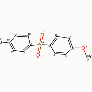 CC(C)Oc1ccc(S(=O)(=O)c2ccc(C(C)(C)C)cc2)cc1